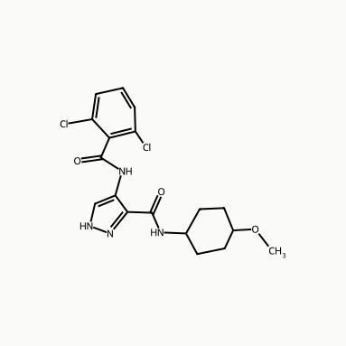 COC1CCC(NC(=O)c2n[nH]cc2NC(=O)c2c(Cl)cccc2Cl)CC1